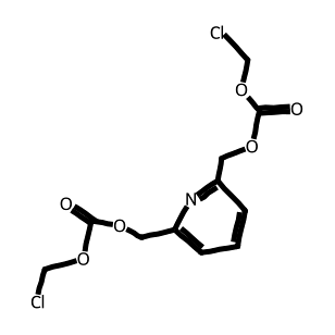 O=C(OCCl)OCc1cccc(COC(=O)OCCl)n1